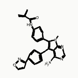 C=C(C)C(=O)Nc1ccc(-c2c(-c3ccc(-c4ccon4)cc3)c3c(N)ncnc3n2C)cc1